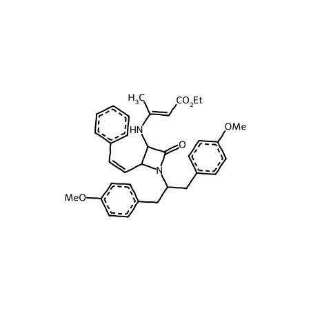 CCOC(=O)C=C(C)NC1C(=O)N(C(Cc2ccc(OC)cc2)Cc2ccc(OC)cc2)C1C=Cc1ccccc1